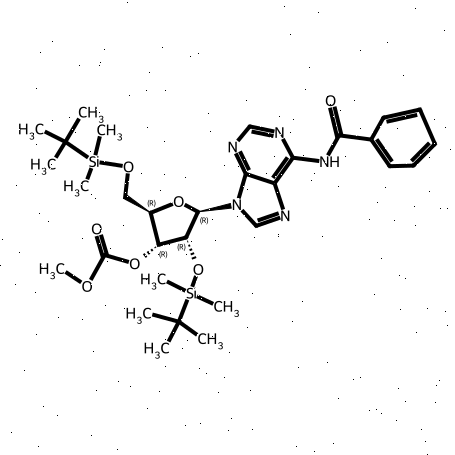 COC(=O)O[C@H]1[C@@H](O[Si](C)(C)C(C)(C)C)[C@H](n2cnc3c(NC(=O)c4ccccc4)ncnc32)O[C@@H]1CO[Si](C)(C)C(C)(C)C